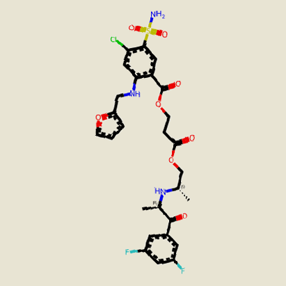 C[C@@H](COC(=O)CCOC(=O)c1cc(S(N)(=O)=O)c(Cl)cc1NCc1ccco1)N[C@H](C)C(=O)c1cc(F)cc(F)c1